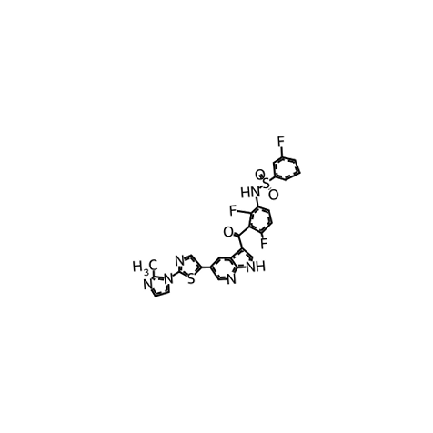 Cc1nccn1-c1ncc(-c2cnc3[nH]cc(C(=O)c4c(F)ccc(NS(=O)(=O)c5cccc(F)c5)c4F)c3c2)s1